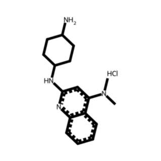 CN(C)c1cc(NC2CCC(N)CC2)nc2ccccc12.Cl